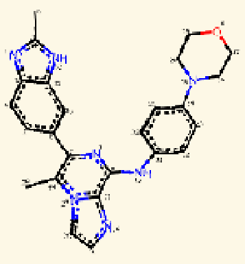 Cc1nc2ccc(-c3nc(Nc4ccc(N5CCOCC5)cc4)c4nccn4c3C)cc2[nH]1